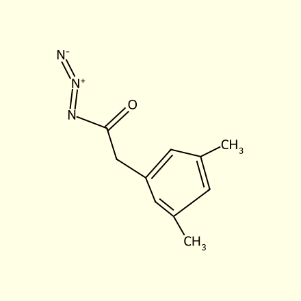 Cc1cc(C)cc(CC(=O)N=[N+]=[N-])c1